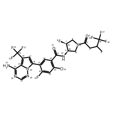 CC(CC(=O)N1C[C@H](F)[C@H](NC(=O)c2cc(-c3cc(C(F)(F)F)c4c(N)ncnn34)c(F)cc2Cl)C1)C(F)(F)F